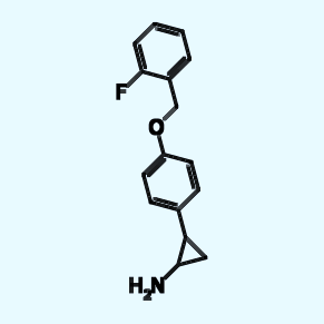 NC1CC1c1ccc(OCc2ccccc2F)cc1